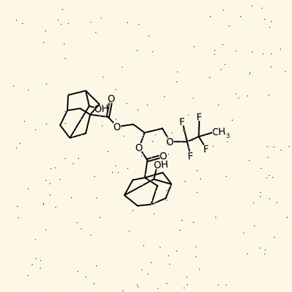 CC(F)(F)C(F)(F)OCC(COC(=O)C12CC3CC(C1)C(O)C(C3)C2)OC(=O)C12CC3CC(C1)C(O)C(C3)C2